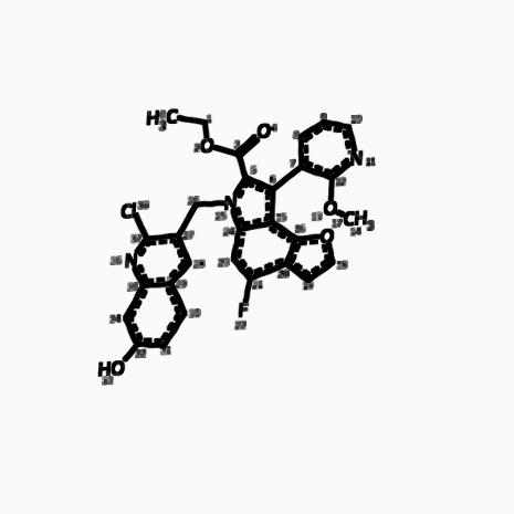 CCOC(=O)c1c(-c2cccnc2OC)c2c3occc3c(F)cc2n1Cc1cc2ccc(O)cc2nc1Cl